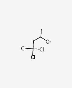 CC([O])CC(Cl)(Cl)Cl